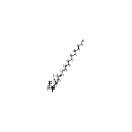 CCCCCCCCCCCCCCCCNCC(F)(F)F